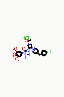 COc1cc(NC(=O)NC2CN(C(C)=O)CC2N2CCC(Cc3ccc(Cl)cc3)CC2)cc(OC)c1OC.Cl